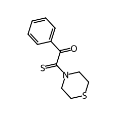 O=C(C(=S)N1CCSCC1)c1ccccc1